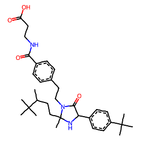 CC(CCC1(C)NC(c2ccc(C(C)(C)C)cc2)C(=O)N1CCc1ccc(C(=O)NCCC(=O)O)cc1)C(C)(C)C